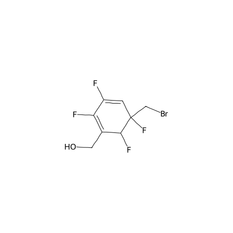 OCC1=C(F)C(F)=CC(F)(CBr)C1F